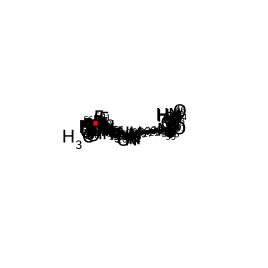 CN(c1ncccc1CNc1nc(Nc2ccc(NC(=O)c3cn(CCCCCCCCNc4cccc5c4C(=O)N(C4CCC(=O)NC4=O)C5=O)nn3)cc2)ncc1C(F)(F)F)S(C)(=O)=O